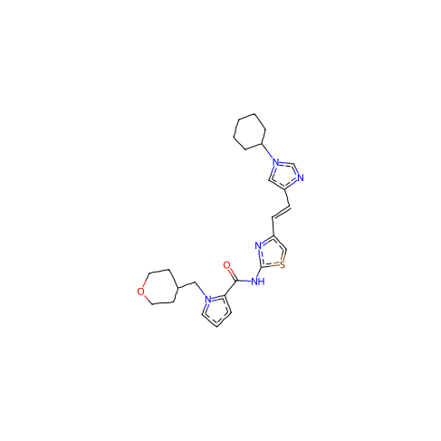 O=C(Nc1nc(C=Cc2cn(C3CCCCC3)cn2)cs1)c1cccn1CC1CCOCC1